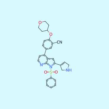 N#Cc1cc(-c2ccnc3c2cc(C2=CCNC2)n3S(=O)(=O)c2ccccc2)ccc1OC1CCOCC1